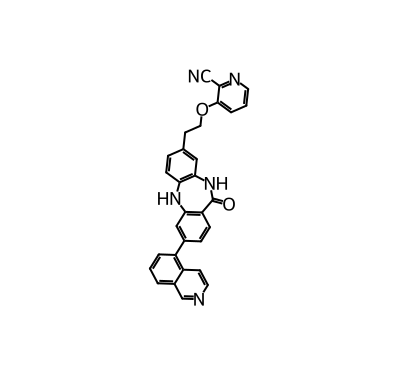 N#Cc1ncccc1OCCc1ccc2c(c1)NC(=O)c1ccc(-c3cccc4cnccc34)cc1N2